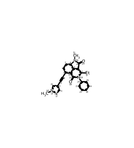 CCc1c2c3c(ccc(C#Cc4cnn(C)c4)c3c(=O)n1-c1ccccc1)N(C)C2=O